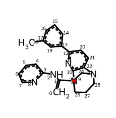 C=C(Nc1ccccn1)N1c2nc(-c3cccc(C)c3)ccc2N2CCC1CC2